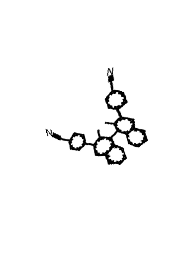 Cc1c(-c2ccc(C#N)cc2)cc2ccccc2c1-c1c(C)c(-c2ccc(C#N)cc2)cc2ccccc12